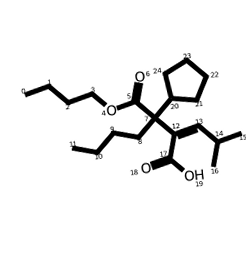 CCCCOC(=O)C(CCCC)(C(=CC(C)C)C(=O)O)C1CCCC1